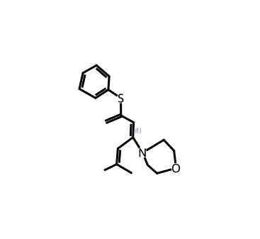 C=C(/C=C(\C=C(C)C)N1CCOCC1)Sc1ccccc1